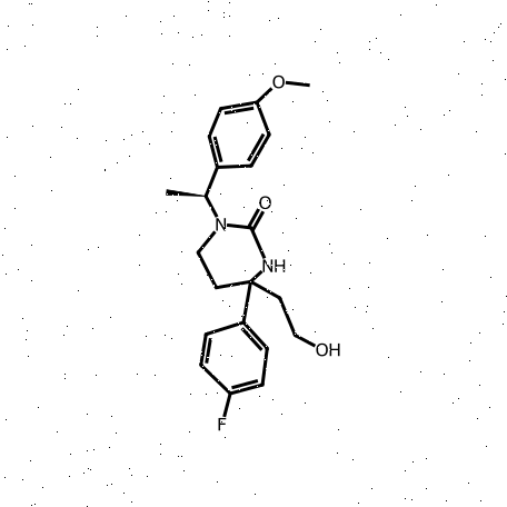 COc1ccc([C@H](C)N2CCC(CCO)(c3ccc(F)cc3)NC2=O)cc1